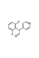 O=CC(c1ccncc1)c1c(F)cccc1F